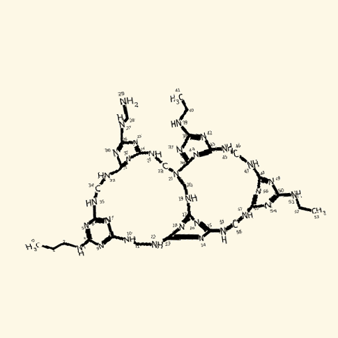 CCCNc1nc2nc(n1)NCNc1nc3nc(n1)NCN(CNc1nc(NCN)nc(n1)NCN2)c1nc(NCC)nc(n1)NCNc1nc(NCC)nc(n1)NCN3